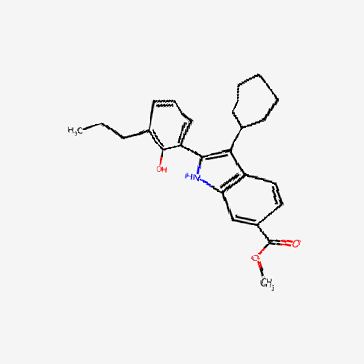 CCCc1cccc(-c2[nH]c3cc(C(=O)OC)ccc3c2C2CCCCC2)c1O